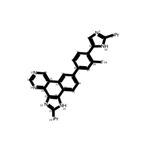 CC(C)c1ncc(-c2ccc(-c3ccc4c(c3)c3cncnc3c3nc(C(C)C)[nH]c43)cc2F)[nH]1